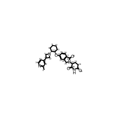 Cc1cc(C2CN([C@@H]3CCCC[C@H]3Oc3ccc4c(c3)CN(C3CCC(=O)NC3=O)C4=O)C2)ccn1